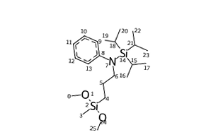 CO[Si](C)(CCCN(c1ccccc1)[Si](C(C)C)(C(C)C)C(C)C)OC